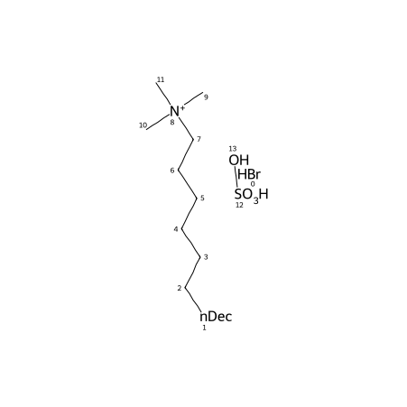 Br.CCCCCCCCCCCCCCCC[N+](C)(C)C.O=S(=O)(O)O